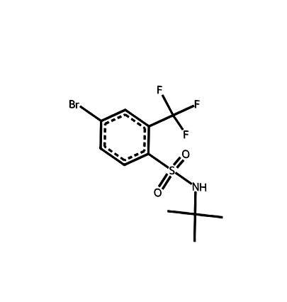 CC(C)(C)NS(=O)(=O)c1ccc(Br)cc1C(F)(F)F